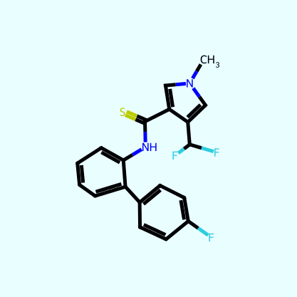 Cn1cc(C(=S)Nc2ccccc2-c2ccc(F)cc2)c(C(F)F)c1